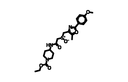 CCOC(=O)N1CCC(NC(=O)C[S+]([O-])Cc2nc(-c3ccc(OC)cc3)oc2C)CC1